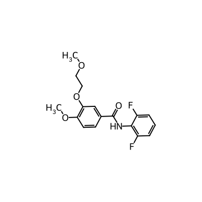 COCCOc1cc(C(=O)Nc2c(F)cccc2F)ccc1OC